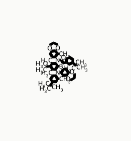 Cc1cc(C(C)(C)C)cc(C)c1N1c2cc3c(cc2B2c4c1cc(C(C)C)cc4N(c1c(C)cc4c(c1C)OCCCO4)c1oc4ccc(C(C)(C)C)cc4c12)OCCCO3